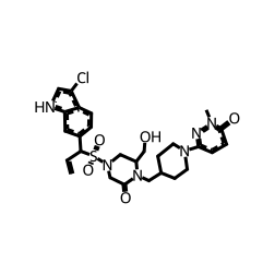 C=CC(c1ccc2c(Cl)c[nH]c2c1)S(=O)(=O)N1CC(=O)N(CC2CCN(c3ccc(=O)n(C)n3)CC2)C(CO)C1